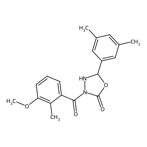 COc1cccc(C(=O)N2NC(c3cc(C)cc(C)c3)OC2=O)c1C